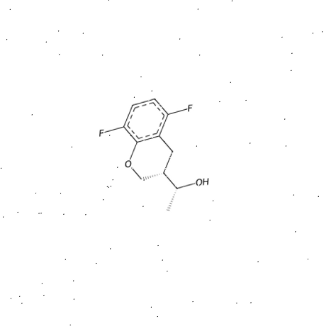 C[C@@H](O)[C@@H]1COc2c(F)ccc(F)c2C1